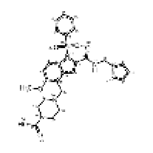 COc1ccc2c(cc(C(=O)NCc3cccs3)n2S(=O)(=O)c2ccccc2)c1CN1CCN(C(=O)O)CC1